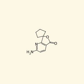 Nc1ccc2c(n1)C1(CCCC1)OC2=O